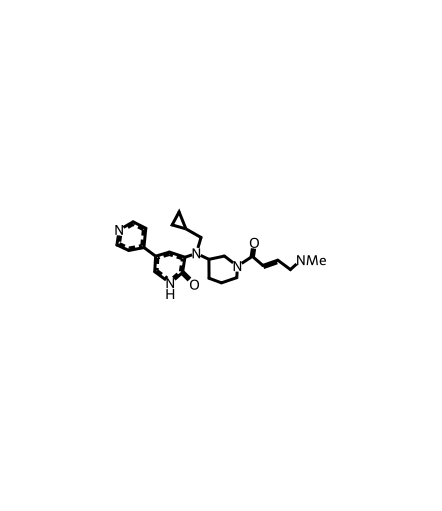 CNC/C=C/C(=O)N1CCCC(N(CC2CC2)c2cc(-c3ccncc3)c[nH]c2=O)C1